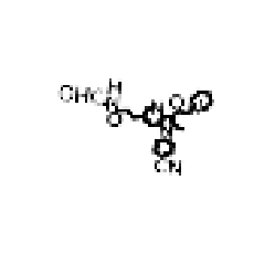 Cc1c(C(=O)CN2CCCCC2)c2ncc(CCC(=O)NCC=O)cc2n1-c1ccc(C#N)cc1